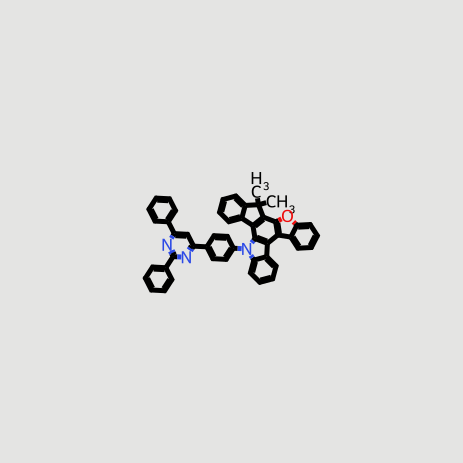 CC1(C)c2ccccc2-c2c1c1oc3ccccc3c1c1c3ccccc3n(-c3ccc(-c4cc(-c5ccccc5)nc(-c5ccccc5)n4)cc3)c21